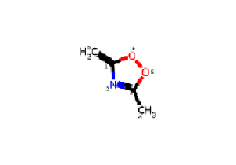 C=C1N=C(C)OO1